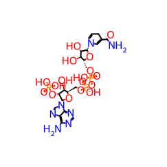 NC(=O)C1=CN([C@@H]2O[C@H](COP(=O)(O)OP(=O)(O)OC[C@H]3O[C@@H](n4cnc5c(N)ncnc54)[C@H](OP(=O)(O)O)[C@H]3O)[C@@H](O)[C@H]2O)C=CC1